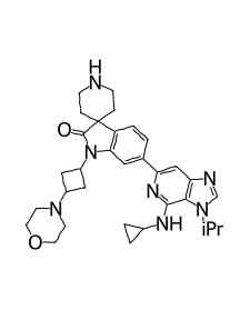 CC(C)n1cnc2cc(-c3ccc4c(c3)N(C3CC(N5CCOCC5)C3)C(=O)C43CCNCC3)nc(NC3CC3)c21